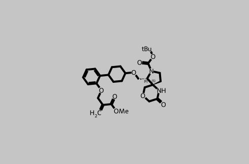 C=C(COc1ccccc1C1CCC(OC[C@@H]2N(C(=O)OC(C)(C)C)CC[C@@]23COCC(=O)N3)CC1)C(=O)OC